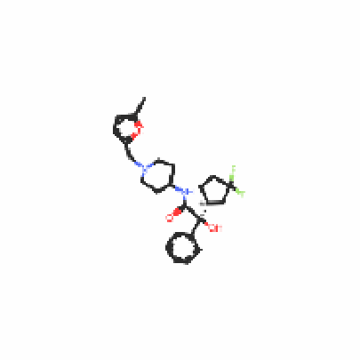 Cc1ccc(CN2CCC(NC(=O)C(O)(c3ccccc3)[C@@H]3CCC(F)(F)C3)CC2)o1